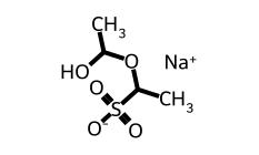 CC(O)OC(C)S(=O)(=O)[O-].[Na+]